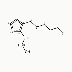 CCCCCCc1ccsc1OBO